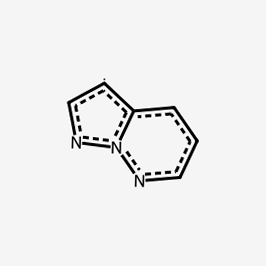 [c]1cnn2ncccc12